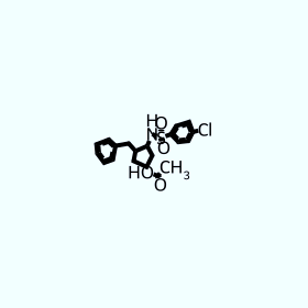 CC(=O)O.O=S(=O)(NC1CCCC1Cc1ccccc1)c1ccc(Cl)cc1